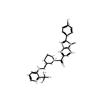 Cn1c(-c2ccc(F)cc2)nc2nc(C(=O)N3CCCC(COc4cccnc4C(F)(F)F)C3)cnc21